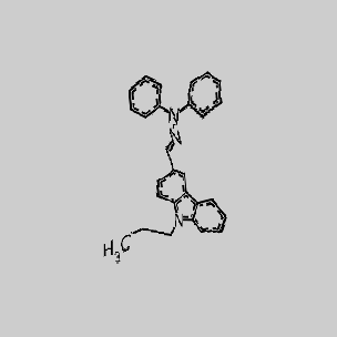 CCCn1c2ccccc2c2cc(C=NN(c3ccccc3)c3ccccc3)ccc21